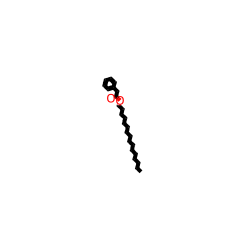 CCCCCCCCCCCCCCCCOC(=O)Cc1ccccc1